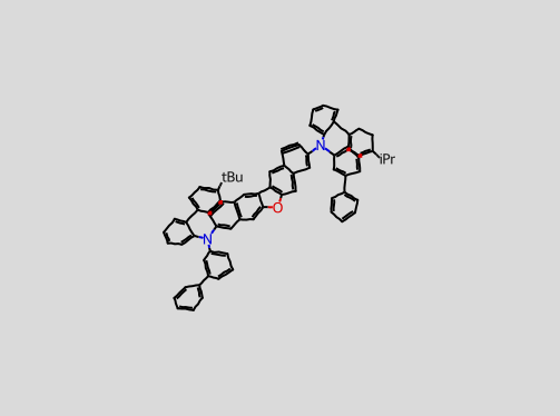 CC(C)C1=CC=C(c2ccccc2N(c2c#cc3cc4c(cc3c2)oc2cc3cc(N(c5cccc(-c6ccccc6)c5)c5ccccc5C5=CC=C(C(C)(C)C)CC5)c#cc3cc24)c2cccc(-c3ccccc3)c2)CC1